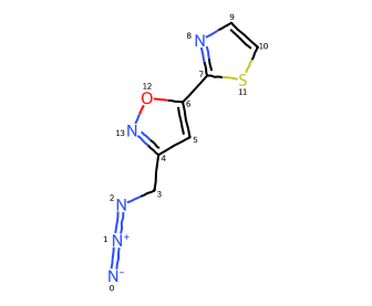 [N-]=[N+]=NCc1cc(-c2nccs2)on1